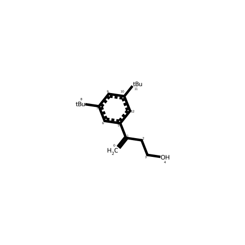 C=C(CCO)c1cc(C(C)(C)C)cc(C(C)(C)C)c1